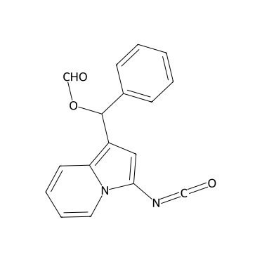 O=C=Nc1cc(C(OC=O)c2ccccc2)c2ccccn12